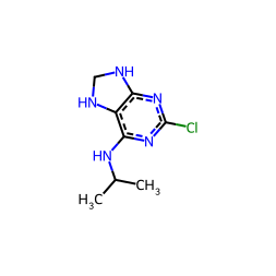 CC(C)Nc1nc(Cl)nc2c1NCN2